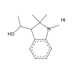 CC(O)C1c2ccccc2N(C)C1(C)C.I